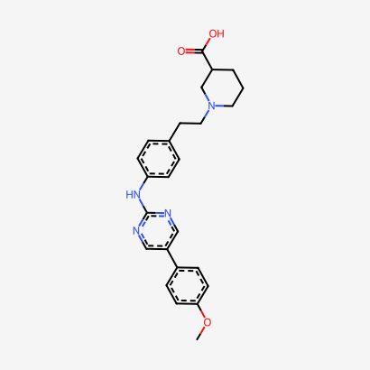 COc1ccc(-c2cnc(Nc3ccc(CCN4CCCC(C(=O)O)C4)cc3)nc2)cc1